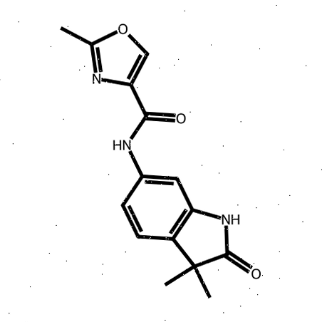 Cc1nc(C(=O)Nc2ccc3c(c2)NC(=O)C3(C)C)co1